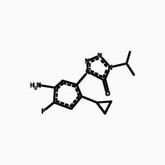 CC(C)n1nnn(-c2cc(N)c(F)cc2C2CC2)c1=O